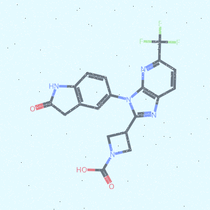 O=C1Cc2cc(-n3c(C4CN(C(=O)O)C4)nc4ccc(C(F)(F)F)nc43)ccc2N1